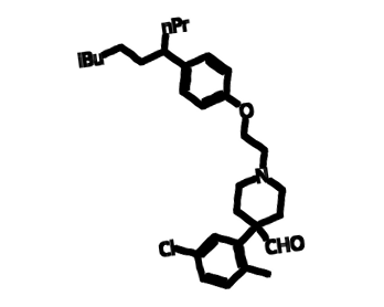 CCCC(CCC(C)CC)c1ccc(OCCN2CCC(C=O)(c3cc(Cl)ccc3C)CC2)cc1